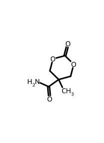 CC1(C(N)=O)COC(=O)OC1